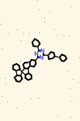 c1ccc(-c2ccc(-c3nc(-c4ccccc4)nc(-c4ccc5c6c(ccc5c4)C4(c5ccccc5-c5ccccc54)c4ccccc4-6)n3)cc2)cc1